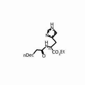 CCCCCCCCCCCC(=O)N[C@@H](Cc1c[nH]cn1)C(=O)OCC